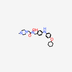 CN1CCN(CC(=O)N(O)Cc2ccc(Nc3ccc(OC4CCCCC4)cc3)cc2)CC1